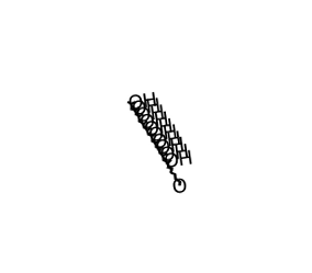 CC(O)CC(O)CC(O)CC(O)CC(O)CC(O)CC(O)CC(O)CC(O)CC(O)CC=CC=CC=O